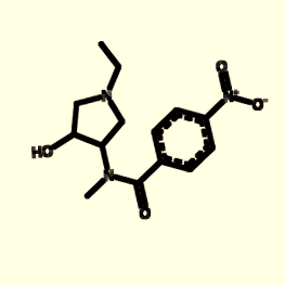 CCN1CC(O)C(N(C)C(=O)c2ccc([N+](=O)[O-])cc2)C1